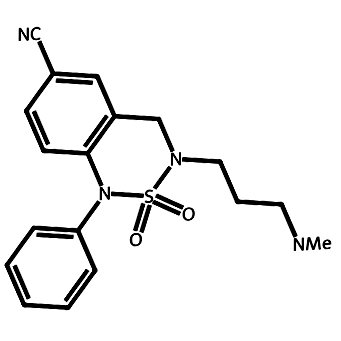 CNCCCN1Cc2cc(C#N)ccc2N(c2ccccc2)S1(=O)=O